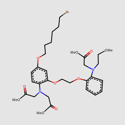 COCCN(CC(=O)OC)c1ccccc1OCCOc1cc(OCCCCCCBr)ccc1N(CC(=O)OC)CC(=O)OC